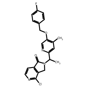 Cc1cc(C(C)N2Cc3c(ccnc3Cl)C2=O)ncc1OCc1ccc(F)cc1